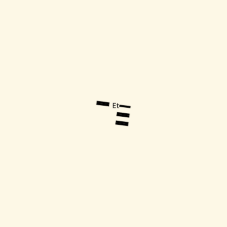 C=C.C=C.C=C.CCC